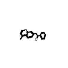 Cc1ccnc2cc(CC(=O)c3ccccc3)ccc12